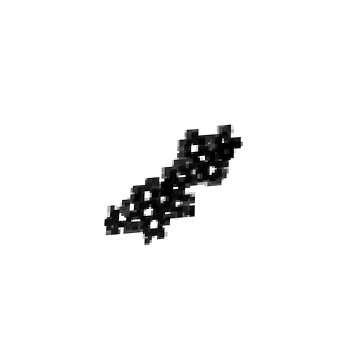 c1ccc(-c2c3ccccc3c(-c3cccc4c3sc3ccc(-c5c6ccccc6c(-c6ccco6)c6ccccc56)cc34)c3ccccc23)cc1